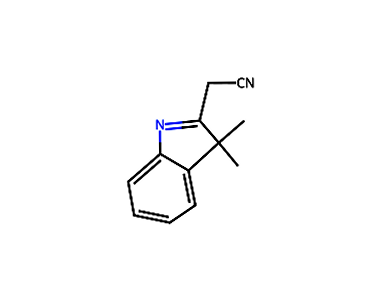 CC1(C)C(CC#N)=Nc2ccccc21